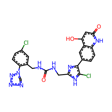 O=C(NCc1nc(-c2ccc3[nH]c(=O)cc(O)c3c2)c(Cl)[nH]1)NCc1cc(Cl)ccc1-n1cnnn1